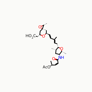 CC(=O)O[C@@H](C)/C=C\C(=O)N[C@@H]1C[C@H](C)[C@H](C/C=C(C)/C=C/[C@@H]2C[C@]3(C[C@@H](CC(=O)O)O2)O[C@@H]3C)O[C@@H]1C